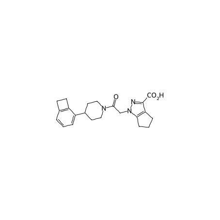 O=C(O)c1nn(CC(=O)N2CCC(c3cccc4c3CC4)CC2)c2c1CCC2